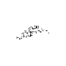 CCSCCC(NC(=O)c1ccc(C)cc1)C(=O)O